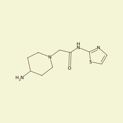 NC1CCN(CC(=O)Nc2nccs2)CC1